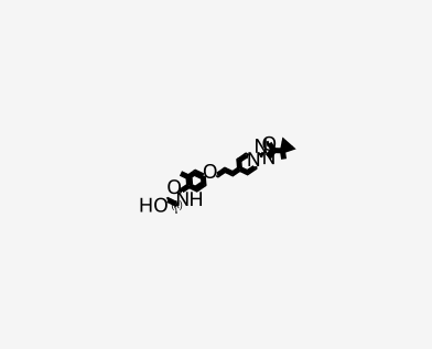 Cc1cc(OCCCC2CCN(c3noc(C4(C)CC4)n3)CC2)ccc1C(=O)N[C@H](C)CO